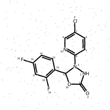 O=C1NN(c2ccc(Cl)cn2)C(c2ccc(F)cc2F)O1